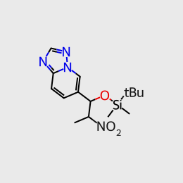 CC(C(O[Si](C)(C)C(C)(C)C)c1ccc2ncnn2c1)[N+](=O)[O-]